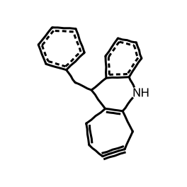 C1#CCC2=C(C=C1)C(Cc1ccccc1)c1ccccc1N2